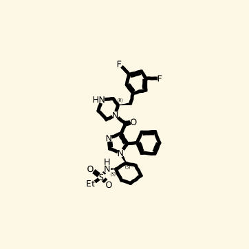 CCS(=O)(=O)N[C@H]1CCCC[C@@H]1n1cnc(C(=O)N2CCNC[C@H]2Cc2cc(F)cc(F)c2)c1-c1ccccc1